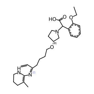 C=C/C(CCCCO[C@@H]1CCN(C(C(=O)O)c2ccccc2OCC)C1)=N\C1=C(C)CCCN1